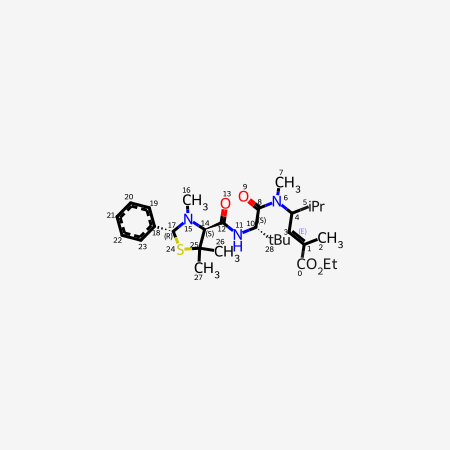 CCOC(=O)/C(C)=C/C(C(C)C)N(C)C(=O)[C@@H](NC(=O)[C@@H]1N(C)[C@@H](c2ccccc2)SC1(C)C)C(C)(C)C